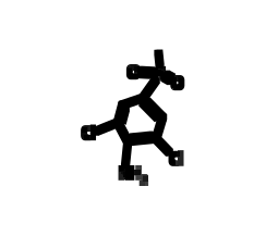 CS(=O)(=O)c1cc(Cl)c(N)c(Cl)c1